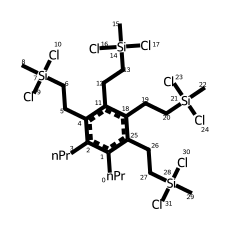 CCCc1c(CCC)c(CC[Si](C)(Cl)Cl)c(CC[Si](C)(Cl)Cl)c(CC[Si](C)(Cl)Cl)c1CC[Si](C)(Cl)Cl